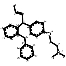 CC=CC(c1ccc(OCCN(C)C)cc1)c1ccccc1Cc1ccccc1